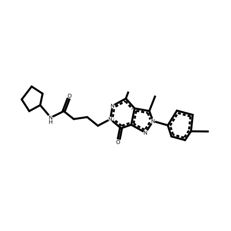 Cc1ccc(-n2nc3c(=O)n(CCCC(=O)NC4CCCC4)nc(C)c3c2C)cc1